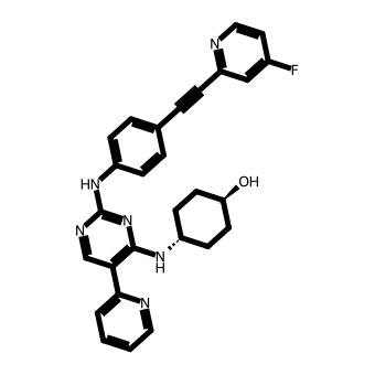 O[C@H]1CC[C@H](Nc2nc(Nc3ccc(C#Cc4cc(F)ccn4)cc3)ncc2-c2ccccn2)CC1